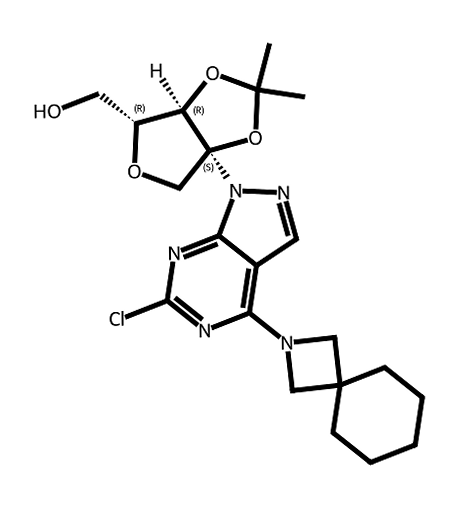 CC1(C)O[C@@H]2[C@@H](CO)OC[C@]2(n2ncc3c(N4CC5(CCCCC5)C4)nc(Cl)nc32)O1